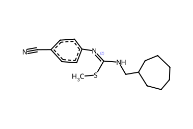 CS/C(=N\c1ccc(C#N)cc1)NCC1CCCCCC1